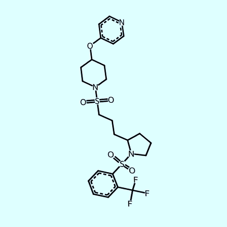 O=S(=O)(CCCC1CCCN1S(=O)(=O)c1ccccc1C(F)(F)F)N1CCC(Oc2ccncc2)CC1